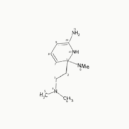 CNC1(CCN(C)C)C=CC=C(N)N1